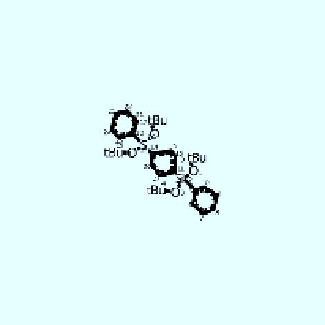 CC(C)(C)O[Si](OC(C)(C)C)(c1ccccc1)c1ccc([Si](OC(C)(C)C)(OC(C)(C)C)c2ccccc2)cc1